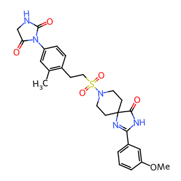 COc1cccc(C2=NC3(CCN(S(=O)(=O)CCc4ccc(N5C(=O)CNC5=O)cc4C)CC3)C(=O)N2)c1